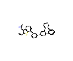 C=Cc1sc2c(c1/C=C\C)CCC=C2c1cccc(-c2ccc3c4ccccc4c4ccccc4c3c2)c1